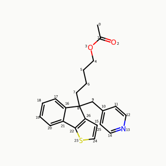 CC(=O)OCCCCC1(Cc2ccncc2)c2ccccc2-c2sccc21